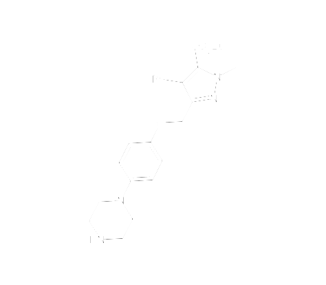 CCOC(=O)c1c(Br)c(COc2ccc(N3CCNCC3)cc2)nn1C